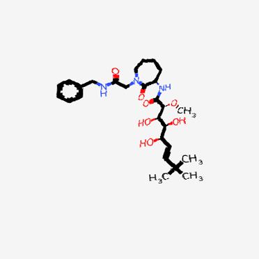 CO[C@@H](C(=O)N[C@H]1CCCCN(CC(=O)NCc2ccccc2)C1=O)[C@H](O)[C@@H](O)[C@H](O)/C=C/C(C)(C)C